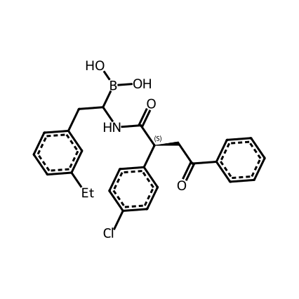 CCc1cccc(CC(NC(=O)[C@@H](CC(=O)c2ccccc2)c2ccc(Cl)cc2)B(O)O)c1